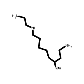 CCCCC(CCN)CCCCCNCCN